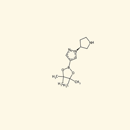 CC1(C)OB(c2cnn([C@H]3CCNC3)c2)OC1(C)C